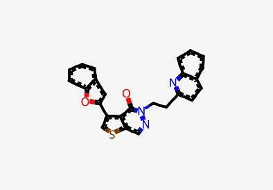 O=c1c2c(-c3cc4ccccc4o3)csc2cnn1CCc1ccc2ccccc2n1